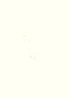 C[S+](C)C1CCCCC1=O.O=C(OCCCCCCBr)C(F)(F)S(=O)(=O)[O-]